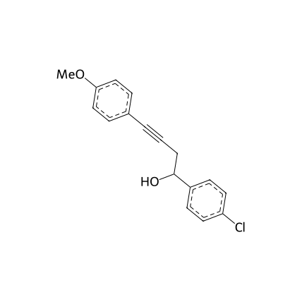 COc1ccc(C#CCC(O)c2ccc(Cl)cc2)cc1